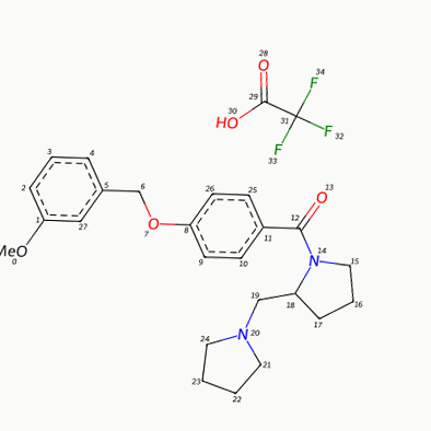 COc1cccc(COc2ccc(C(=O)N3CCCC3CN3CCCC3)cc2)c1.O=C(O)C(F)(F)F